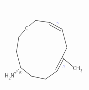 C/C1=C/CC[C@H](N)CCCC/C=C\C1